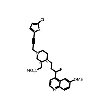 COc1ccc2nccc(C(F)CC[C@@H]3CCN(CC#Cc4ccc(Cl)s4)C[C@@H]3CC(=O)O)c2c1